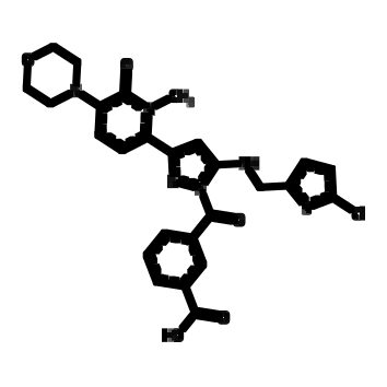 Cn1c(-c2cc(NCc3ccc(Cl)s3)n(C(=O)c3cccc(C(=O)O)c3)n2)ccc(N2CCOCC2)c1=O